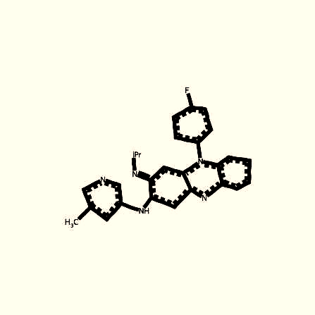 Cc1cncc(Nc2cc3nc4ccccc4n(-c4ccc(F)cc4)c-3cc2=NC(C)C)c1